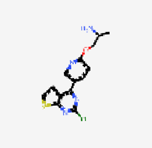 CC(N)COc1ccc(-c2nc(Cl)nc3sccc23)cn1